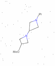 COC1CN(C2CN(C(C)C)C2)C1